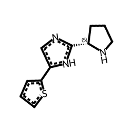 c1csc(-c2cnc([C@@H]3CCCN3)[nH]2)c1